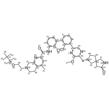 COc1nc(-c2cccc(-c3cccc(NC(=O)c4cc(C)c5c(n4)CN(CCO[Si](C)(C)C(C)(C)C)CC5)c3Cl)c2Cl)cnc1CN1CCC2(CNC(=O)C2)C1